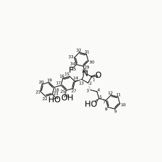 O=C1[C@H](CC[C@H](O)c2ccccc2)[C@@H](c2ccc(-c3ccccc3O)c(O)c2)N1c1ccccc1F